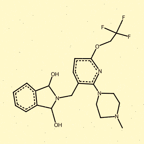 CN1CCN(c2nc(OCC(F)(F)F)ccc2CN2C(O)c3ccccc3C2O)CC1